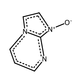 [O-][n+]1ccn2cccnc21